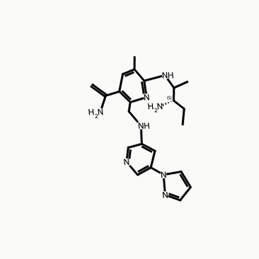 C=C(N)c1cc(C)c(NC(C)[C@@H](N)CC)nc1CNc1cncc(-n2cccn2)c1